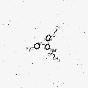 C=CC(=O)Nc1ccc(Nc2ccc(C(F)(F)F)cc2)c(-c2nccc(OCCO)n2)c1